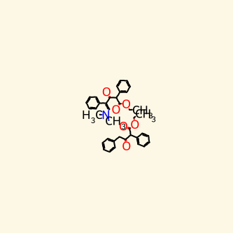 CCOC(=O)C(C(=O)C(=CN(C)C)c1ccccc1)c1ccccc1.CCOC(=O)C(C(=O)Cc1ccccc1)c1ccccc1